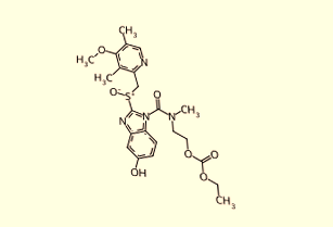 CCOC(=O)OCCN(C)C(=O)n1c([S+]([O-])Cc2ncc(C)c(OC)c2C)nc2cc(O)ccc21